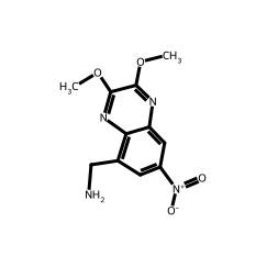 COc1nc2cc([N+](=O)[O-])cc(CN)c2nc1OC